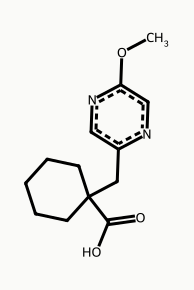 COc1cnc(CC2(C(=O)O)CCCCC2)cn1